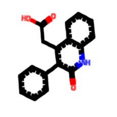 O=C(O)Cc1c(-c2ccccc2)c(=O)[nH]c2ccccc12